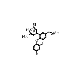 CCN(C)/C=C(\C=C(\C)C=O)c1cc(CSC)ccc1Oc1ccc(F)cc1F